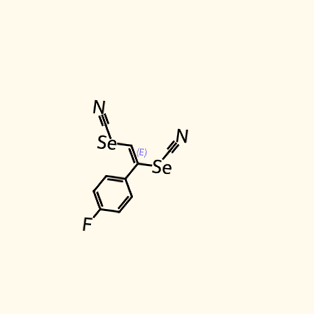 N#C[Se]/C=C(/[Se]C#N)c1ccc(F)cc1